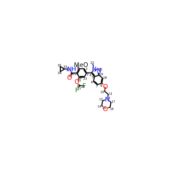 COc1cc(-c2c3ccc(OCCN4CCOCC4)cc3nn2C)cc(OC(F)F)c1C(=O)NC1CC1